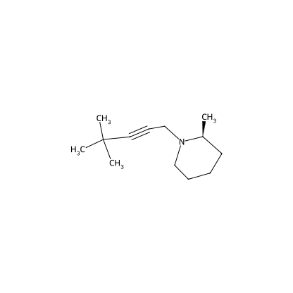 C[C@H]1CCCCN1CC#CC(C)(C)C